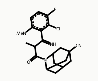 CNc1ccc(F)c(Cl)c1C(=N)C(C)C(=O)N1C2CC3CC1CC(C#N)(C3)C2